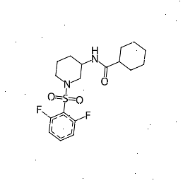 O=C(NC1CCCN(S(=O)(=O)c2c(F)cccc2F)C1)C1CCCCC1